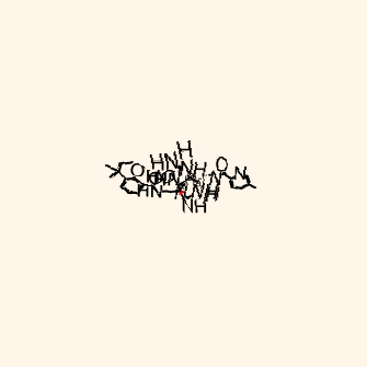 Cc1ccc(C(=O)NC[C@@H]2NC(=N)N3CC(NC(=O)c4cccc5c4OCCC5(C)C)[C@@H](O)C34NC(=N)N[C@@H]24)nc1